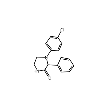 O=C1NCCN(c2ccc(Cl)cc2)C1c1ccccc1